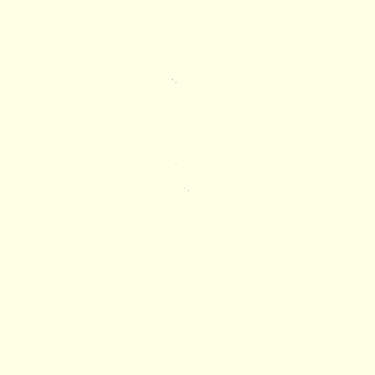 COC(=O)CCN(C(=O)Cc1c(-c2ccccc2)[nH]c2ccccc12)C1CC1